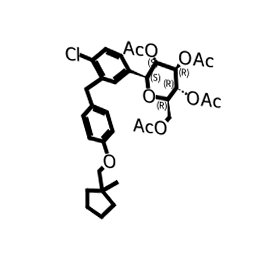 CC(=O)OC[C@H]1O[C@@H](c2ccc(Cl)c(Cc3ccc(OCC4(C)CCCC4)cc3)c2)[C@H](OC(C)=O)[C@@H](OC(C)=O)[C@@H]1OC(C)=O